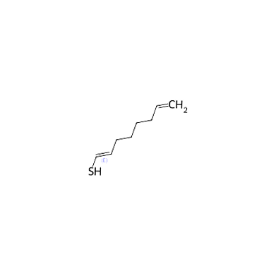 C=CCCCC/C=C/S